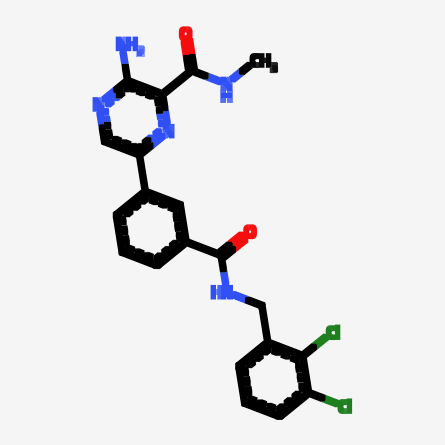 CNC(=O)c1nc(-c2cccc(C(=O)NCc3cccc(Cl)c3Cl)c2)cnc1N